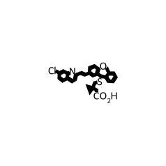 O=C(O)CC1(CSC2c3ccccc3COc3ccc(C=Cc4ccc5ccc(Cl)cc5n4)cc32)CC1